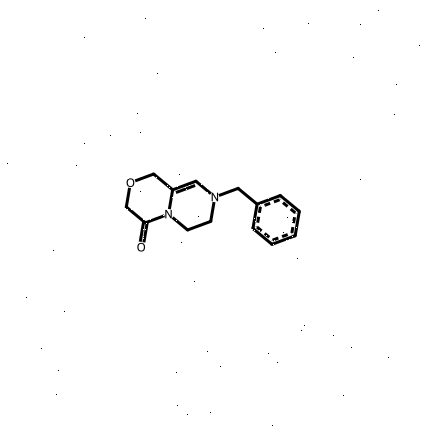 O=C1COCC2=CN(Cc3ccccc3)CCN12